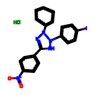 Cl.O=[N+]([O-])c1ccc(C2=NN(c3ccccc3)N(c3ccc(I)cc3)N2)cc1